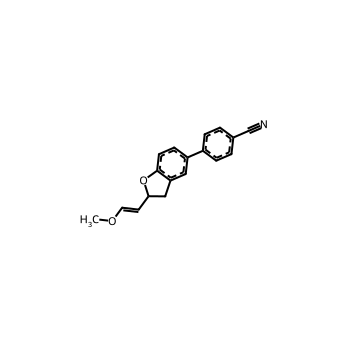 CO/C=C/C1Cc2cc(-c3ccc(C#N)cc3)ccc2O1